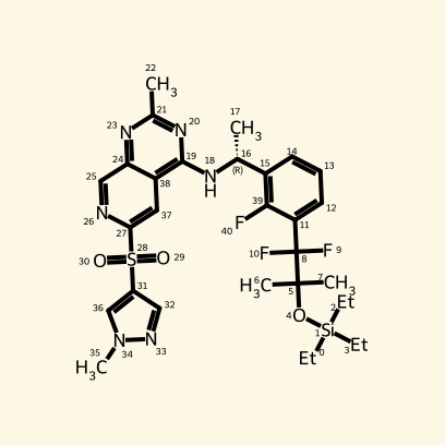 CC[Si](CC)(CC)OC(C)(C)C(F)(F)c1cccc([C@@H](C)Nc2nc(C)nc3cnc(S(=O)(=O)c4cnn(C)c4)cc23)c1F